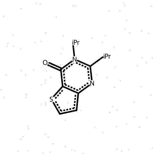 CC(C)c1nc2ccsc2c(=O)n1C(C)C